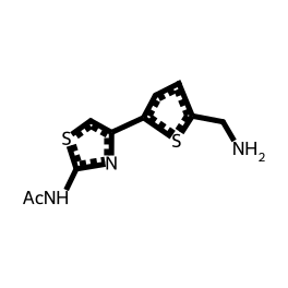 CC(=O)Nc1nc(-c2ccc(CN)s2)cs1